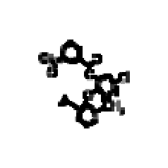 Cc1cccc(C2CC2)c1Oc1nnc(Cl)cc1OC(=O)c1cccc([N+](=O)[O-])c1